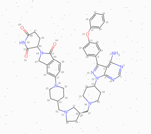 Nc1ncnc2c1c(-c1ccc(Oc3ccccc3)cc1)nn2C1CCN(C[C@H]2CCN(CC3CCN(c4ccc5c(c4)CN(C4CCC(=O)NC4=O)C5=O)CC3)C2)CC1